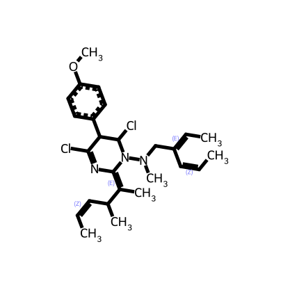 C/C=C\C(=C/C)CN(C)N1/C(=C(\C)C(C)/C=C\C)N=C(Cl)C(c2ccc(OC)cc2)C1Cl